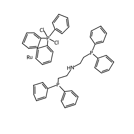 ClP(Cl)(c1ccccc1)(c1ccccc1)c1ccccc1.[Ru].c1ccc(P(CCNCCP(c2ccccc2)c2ccccc2)c2ccccc2)cc1